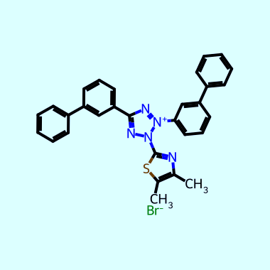 Cc1nc(-n2nc(-c3cccc(-c4ccccc4)c3)n[n+]2-c2cccc(-c3ccccc3)c2)sc1C.[Br-]